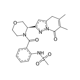 CC1=C(C)C(=O)n2nc([C@@H]3COCCN3C(=O)c3ccccc3NS(C)(=O)=O)cc2C1